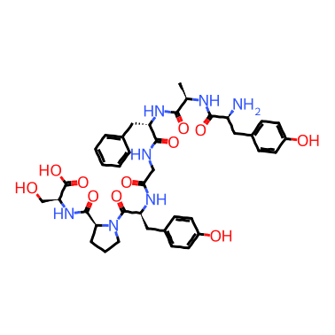 C[C@@H](NC(=O)[C@@H](N)Cc1ccc(O)cc1)C(=O)N[C@@H](Cc1ccccc1)C(=O)NCC(=O)N[C@@H](Cc1ccc(O)cc1)C(=O)N1CCC[C@H]1C(=O)N[C@@H](CO)C(=O)O